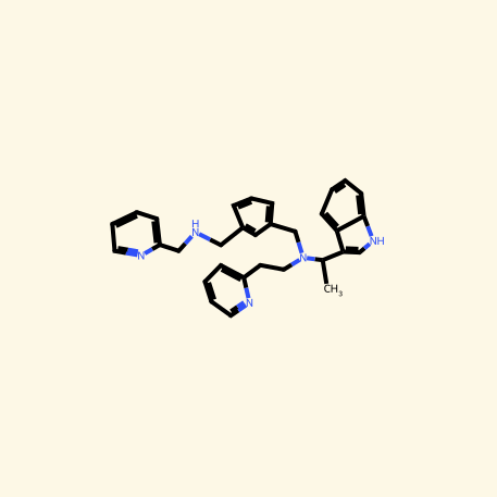 CC(c1c[nH]c2ccccc12)N(CCc1ccccn1)Cc1cccc(CNCc2ccccn2)c1